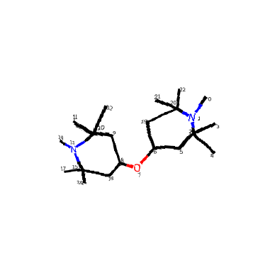 CN1C(C)(C)CC(OC2CC(C)(C)N(C)C(C)(C)C2)CC1(C)C